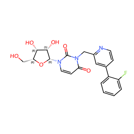 O=c1ccn([C@@H]2O[C@H](CO)[C@H](O)[C@@H]2O)c(=O)n1Cc1cc(-c2ccccc2F)ccn1